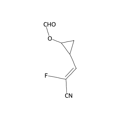 N#CC(F)=CC1CC1OC=O